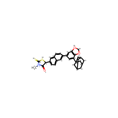 CN1C(=O)C(c2ccc3cc(-c4cc5c(c(C67CC8CC(CC(C8)C6)C7)c4)OCO5)ccc3c2)SC1=S